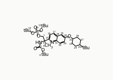 CC(C)(C)OC(=O)NC(C)(COP(=O)(OC(C)(C)C)OC(C)(C)C)c1ccc2cc(OC3CCC(C(C)(C)C)CC3)ccc2n1